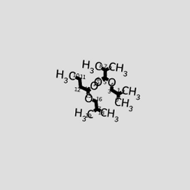 CC(C)COC(=O)C(C)C.CCCC(=O)OCC(C)C